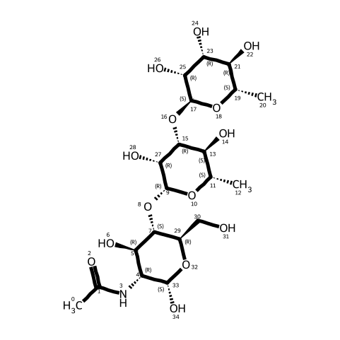 CC(=O)N[C@@H]1[C@@H](O)[C@H](O[C@H]2O[C@@H](C)[C@H](O)[C@@H](O[C@@H]3O[C@@H](C)[C@H](O)[C@@H](O)[C@H]3O)[C@H]2O)[C@@H](CO)O[C@@H]1O